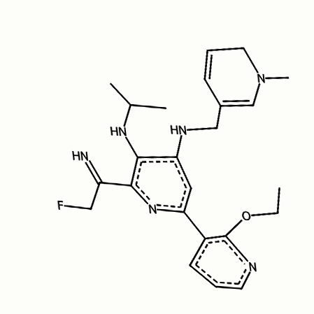 CCOc1ncccc1-c1cc(NCC2=CN(C)CC=C2)c(NC(C)C)c(C(=N)CF)n1